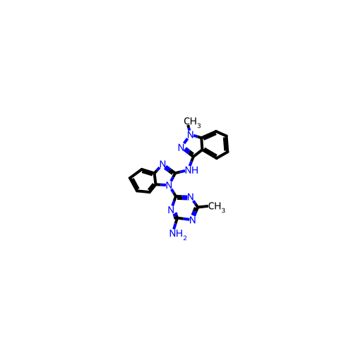 Cc1nc(N)nc(-n2c(Nc3nn(C)c4ccccc34)nc3ccccc32)n1